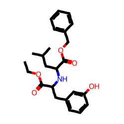 CCOC(=O)C(Cc1cccc(O)c1)NC(CC(C)C)C(=O)OCc1ccccc1